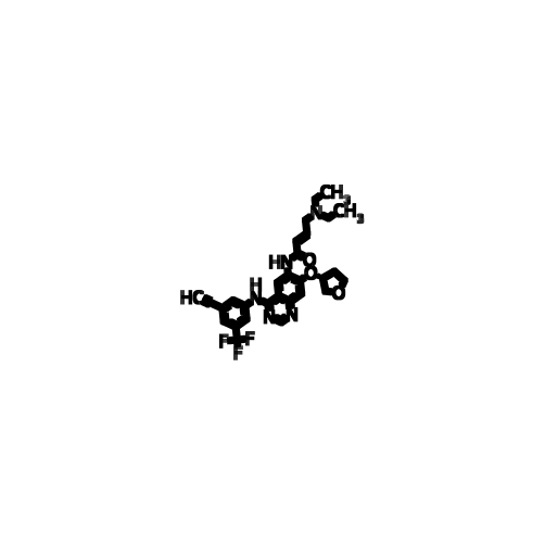 C#Cc1cc(Nc2ncnc3cc(O[C@H]4CCOC4)c(NC(=O)/C=C/CN(CC)CC)cc23)cc(C(F)(F)F)c1